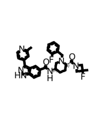 Cc1cc(-c2n[nH]c3ccc(C(=O)N[C@@H]4CC[C@@H](C(=O)N5CC(C)(F)C5)N(Cc5ccccc5F)C4)cc23)ccn1